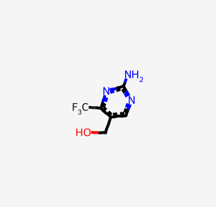 Nc1ncc(CO)c(C(F)(F)F)n1